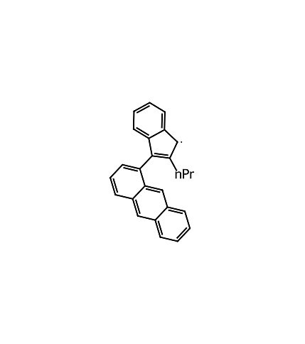 CCCC1=C(c2cccc3cc4ccccc4cc23)c2ccccc2[CH]1